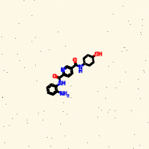 Nc1ccccc1NC(=O)c1ccc(C(=O)NC2CCC(O)CC2)cn1